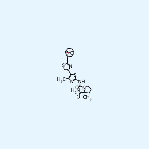 Cc1nc(NC(=O)N2CCC[C@@]2(C)C(N)=O)sc1-c1csc(N2CC3CCC(CC3)C2)n1